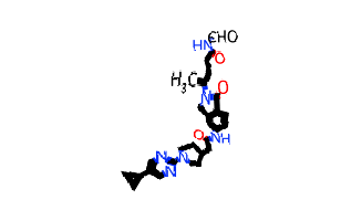 CC(CCC(=O)NC=O)N1Cc2cc(NC(=O)CC3CCN(c4ncc(C5CC5)cn4)CC3)ccc2C1=O